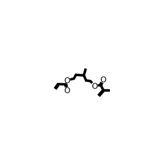 C=CC(=O)OCCC(C)CCOC(=O)C(=C)C